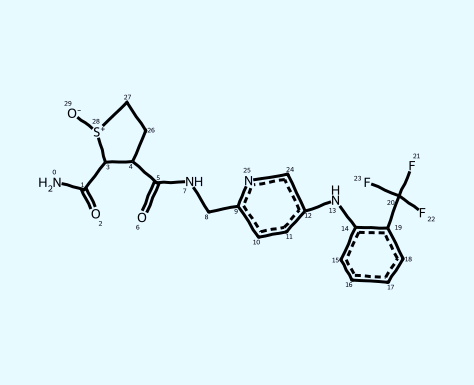 NC(=O)C1C(C(=O)NCc2ccc(Nc3ccccc3C(F)(F)F)cn2)CC[S+]1[O-]